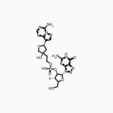 Nc1nc2c(nnn2[C@@H]2OC(CO)[C@H](F)[C@H]2OP(=O)(S)OCC[C@]2(O)CO[C@@H](c3cnn4c(N)ncnc34)C2)c(=O)[nH]1